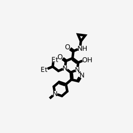 CCC(CC)Cn1c(=O)c(C(=O)NC2CC2)c(O)n2ncc(C3=CCN(C)CC3)c12